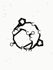 O=C1CCP2PC3CC2CC(=O)CCC2CC(CC2C1)C1C=Cc2c(cccc21)CCC=CCCc1cccc2c1C=CC23